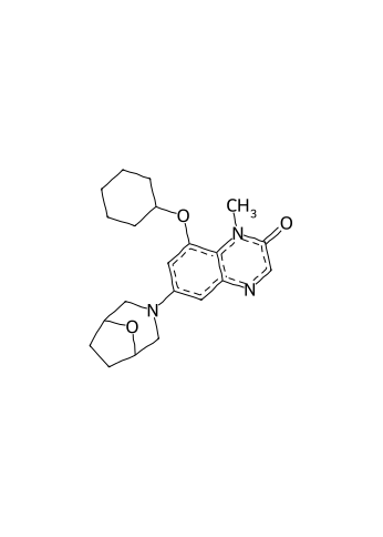 Cn1c(=O)cnc2cc(N3CC4CCC(C3)O4)cc(OC3CCCCC3)c21